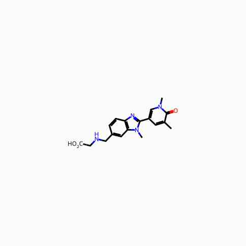 Cc1cc(-c2nc3ccc(CNCC(=O)O)cc3n2C)cn(C)c1=O